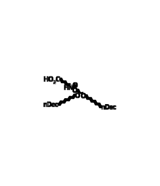 CCCCCCCCCCCCCCCCCCOC[C@H](COC(=O)NCCCCCC(=O)O)OCCCCCCCCCCCCCCCCCC